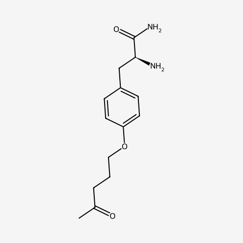 CC(=O)CCCOc1ccc(C[C@H](N)C(N)=O)cc1